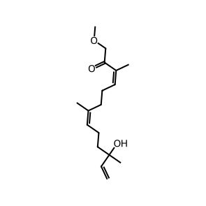 C=CC(C)(O)CCC=C(C)CCC=C(C)C(=O)COC